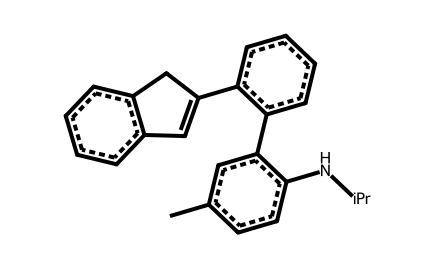 Cc1ccc(NC(C)C)c(-c2ccccc2C2=Cc3ccccc3C2)c1